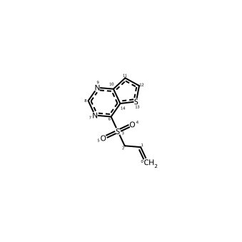 C=CCS(=O)(=O)c1ncnc2ccsc12